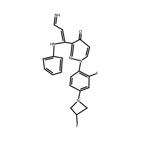 N=C/C=C(\Nc1ccccc1)c1nn(-c2ccc(N3CC(F)C3)cc2F)ccc1=O